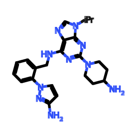 CC(C)n1cnc2c(NCc3ccccc3-n3ccc(N)n3)nc(N3CCC(N)CC3)nc21